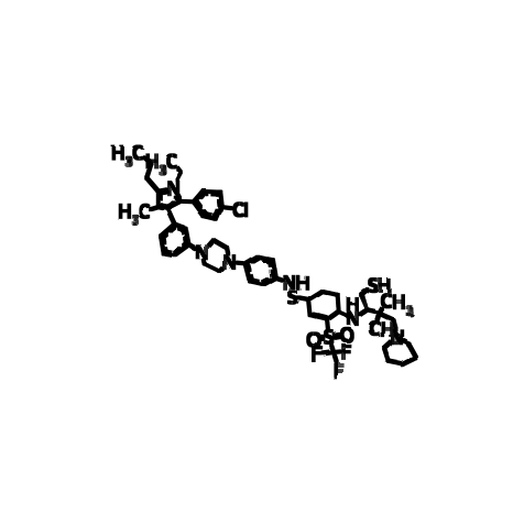 CCCc1c(C)c(-c2cccc(N3CCN(c4ccc(NSC5C=C(S(=O)(=O)C(F)(F)F)C(N[C@@H](CS)C(C)(C)CN6CCCCC6)CC5)cc4)CC3)c2)c(-c2ccc(Cl)cc2)n1CC